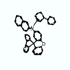 c1ccc(-c2cccc(N(c3ccc4c(c3)C3(c5ccccc5O4)c4ccccc4-c4ccccc43)c3ccc4ccccc4c3)c2)cc1